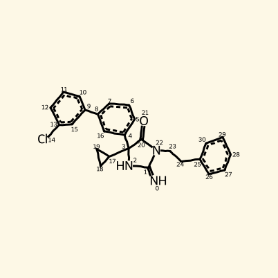 N=C1NC(c2cccc(-c3cccc(Cl)c3)c2)(C2CC2)C(=O)N1CCc1ccccc1